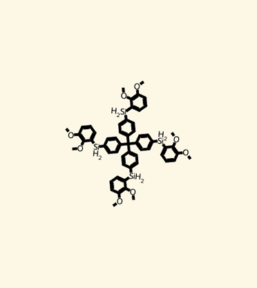 COc1cccc([SiH2]c2ccc(C(c3ccc([SiH2]c4cccc(OC)c4OC)cc3)(c3ccc([SiH2]c4cccc(OC)c4OC)cc3)c3ccc([SiH2]c4cccc(OC)c4OC)cc3)cc2)c1OC